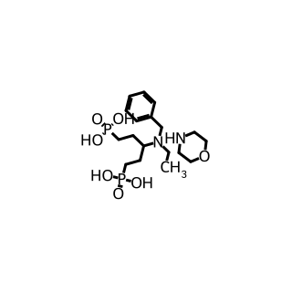 C1COCCN1.CCN(Cc1ccccc1)C(CCP(=O)(O)O)CCP(=O)(O)O